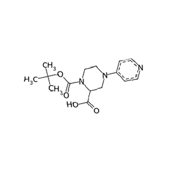 CC(C)(C)OC(=O)N1CCN(c2ccncc2)CC1C(=O)O